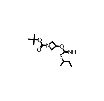 CCC(C)SC(=N)OC1CN(C(=O)OC(C)(C)C)C1